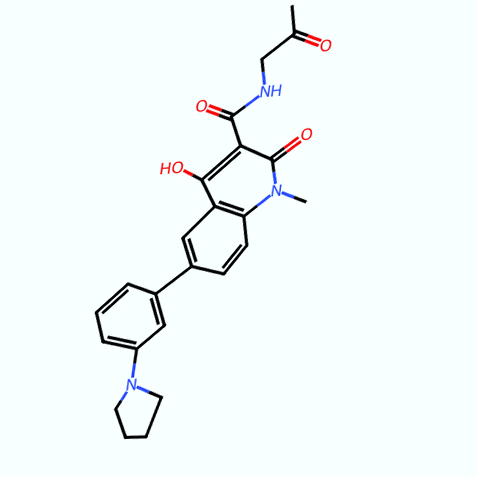 CC(=O)CNC(=O)c1c(O)c2cc(-c3cccc(N4CCCC4)c3)ccc2n(C)c1=O